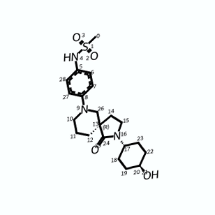 CS(=O)(=O)Nc1ccc(N2CCC[C@@]3(CCN([C@H]4CC[C@H](O)CC4)C3=O)C2)cc1